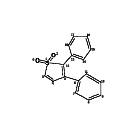 O=S1(=O)C=CC(c2ccccc2)=C1c1ccccc1